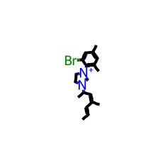 C/C=C/C(C)=C\C(C)N1C=[N+](c2c(C)cc(C)cc2Br)CC1